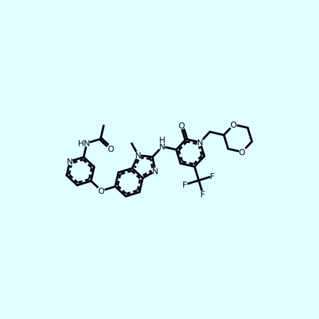 CC(=O)Nc1cc(Oc2ccc3nc(Nc4cc(C(F)(F)F)cn(CC5COCCO5)c4=O)n(C)c3c2)ccn1